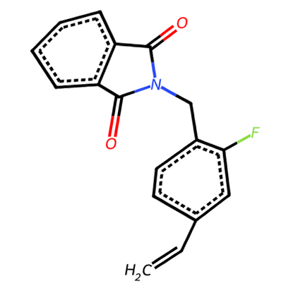 C=Cc1ccc(CN2C(=O)c3ccccc3C2=O)c(F)c1